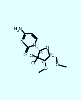 COC[C@H]1O[C@@H](n2ccc(N)nc2=O)C(Cl)(Cl)[C@@H]1OC